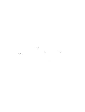 CCN(CC)CC(=O)Nc1cccc(OC)c1OC